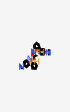 CN(C)c1ccc([PH](CCC[PH](c2ccccc2)(c2ccc(N(C)C)cc2)N(C)C)(c2ccccc2)N(C)C)cc1